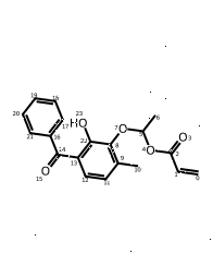 C=CC(=O)OC(C)Oc1c(C)ccc(C(=O)c2ccccc2)c1O